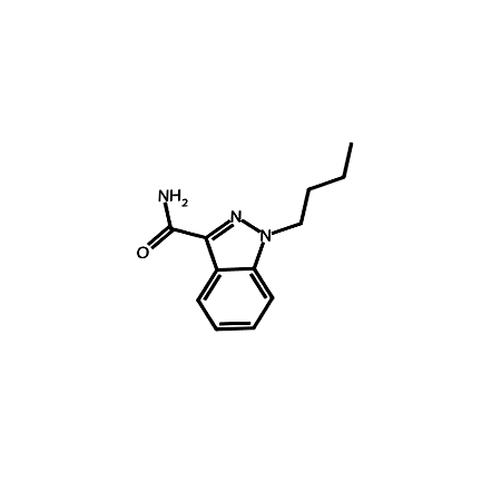 CCCCn1nc(C(N)=O)c2ccccc21